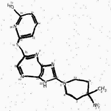 CC1(N)CCN(c2nc3nc(Sc4cccc(O)n4)cnc3[nH]2)CC1